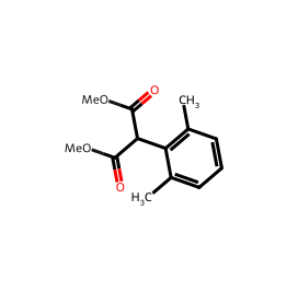 COC(=O)C(C(=O)OC)c1c(C)cccc1C